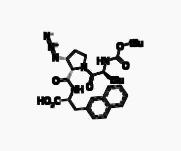 CC(C)(C)OC(=O)N[C@H](C(=O)N1CC[C@@H](N=[N+]=[N-])[C@H]1C(=O)NC(Cc1ccc2ccccc2c1)C(=O)O)C(C)(C)C